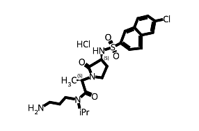 CC(C)N(CCCN)C(=O)[C@H](C)N1CC[C@H](NS(=O)(=O)c2ccc3cc(Cl)ccc3c2)C1=O.Cl